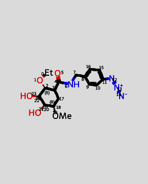 CCO[C@@H]1C(C(=O)NCc2ccc(N=[N+]=[N-])cc2)C[C@@H](OC)[C@@H](O)[C@H]1O